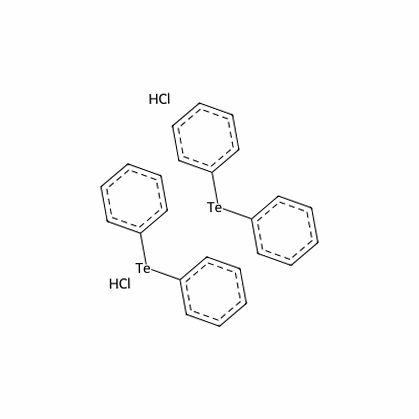 Cl.Cl.c1ccc([Te]c2ccccc2)cc1.c1ccc([Te]c2ccccc2)cc1